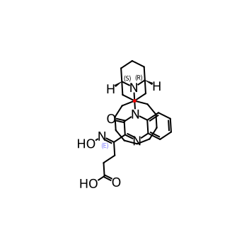 O=C(O)CC/C(=N\O)c1nc2ccccc2n(C2C[C@H]3CCC[C@@H](C2)N3C2CCCCCCCCC2)c1=O